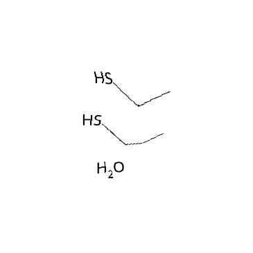 CCS.CCS.O